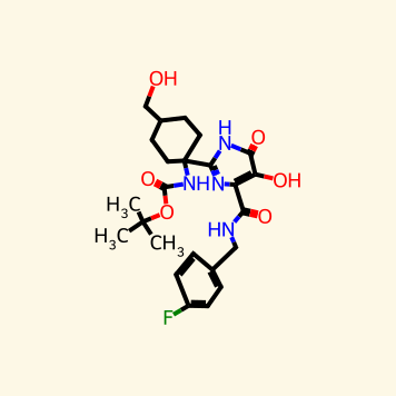 CC(C)(C)OC(=O)NC1(c2nc(C(=O)NCc3ccc(F)cc3)c(O)c(=O)[nH]2)CCC(CO)CC1